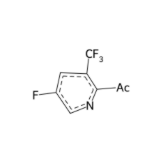 CC(=O)c1ncc(F)cc1C(F)(F)F